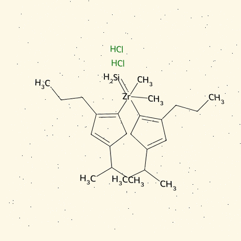 CCCC1=[C]([Zr]([CH3])([CH3])(=[SiH2])[C]2=C(CCC)C=C(C(C)C)C2)CC(C(C)C)=C1.Cl.Cl